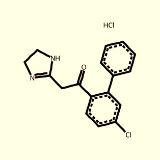 Cl.O=C(CC1=NCCN1)c1ccc(Cl)cc1-c1ccccc1